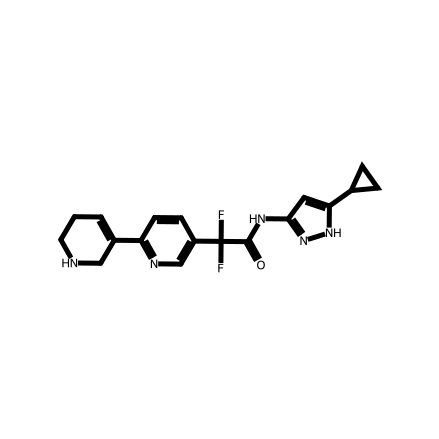 O=C(Nc1cc(C2CC2)[nH]n1)C(F)(F)c1ccc(C2=CCCNC2)nc1